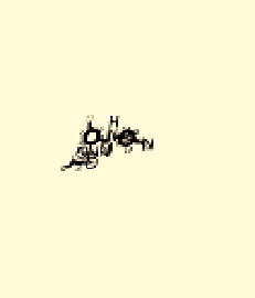 CCCS(=O)(=O)Nc1ccc(C)cc1C(=O)NC12CCC(C#N)(CC1)CC2